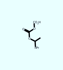 CCCC(C)OC(=O)OC(=O)O